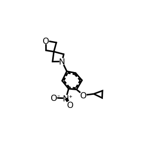 O=[N+]([O-])c1cc(N2CC3(COC3)C2)ccc1OC1CC1